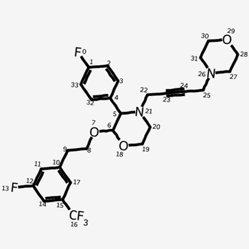 Fc1ccc(C2C(OCCc3cc(F)cc(C(F)(F)F)c3)OCCN2CC#CCN2CCOCC2)cc1